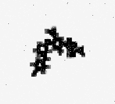 O=C(NS(=O)(=O)C1CC1)c1cc(C2CC2)c(O[C@@H]2CCCN(Cc3ccc(F)cc3)C2)cc1F